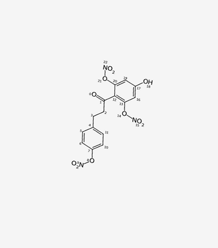 O=C(CCc1ccc(O[N+](=O)[O-])cc1)c1c(O[N+](=O)[O-])cc(O)cc1O[N+](=O)[O-]